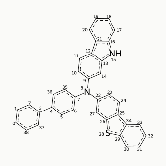 c1ccc(-c2ccc(N(c3ccc4c(c3)[nH]c3ccccc34)c3ccc4c(c3)sc3ccccc34)cc2)cc1